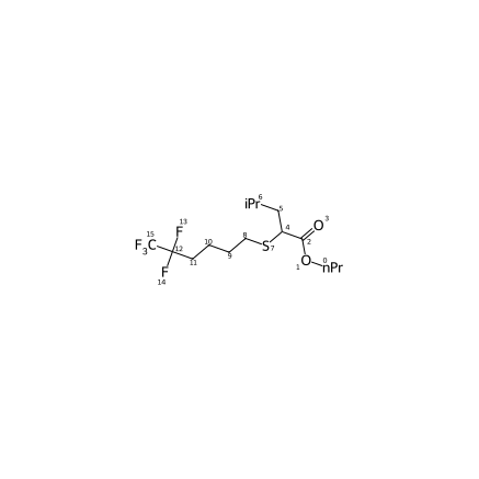 CCCOC(=O)C(CC(C)C)SCCCCC(F)(F)C(F)(F)F